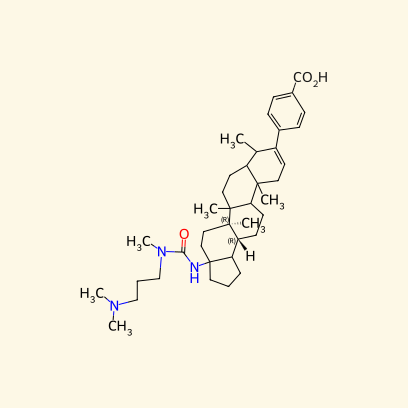 CC1C(c2ccc(C(=O)O)cc2)=CCC2(C)C1CCC1(C)C2CC[C@@H]2C3CCCC3(NC(=O)N(C)CCCN(C)C)CC[C@]21C